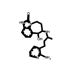 CC(CCc1cccnc1N)NC1CCn2c(=O)[nH]c3cccc(c32)C1O